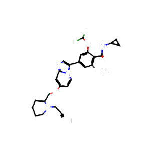 C#CCN1CCCCC1COc1ccn2c(-c3cc(OC)c(C(=O)NC4CC4)c(OC(F)F)c3)cnc2c1